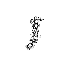 COC(=O)c1ccc2nc(NC(=O)c3csc(-c4ccncc4)n3)cn2n1